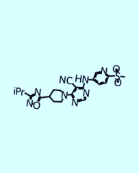 CC(C)c1noc(C2CCN(c3ncnc(Nc4ccc(S(C)(=O)=O)nc4)c3C#N)CC2)n1